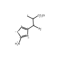 CCOC(=O)[C](C)C(C(C)=O)c1csc(N)n1